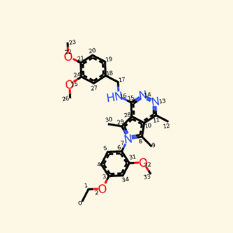 CCOc1ccc(-n2c(C)c3c(C)nnc(NCc4ccc(OC)c(OC)c4)c3c2C)c(OC)c1